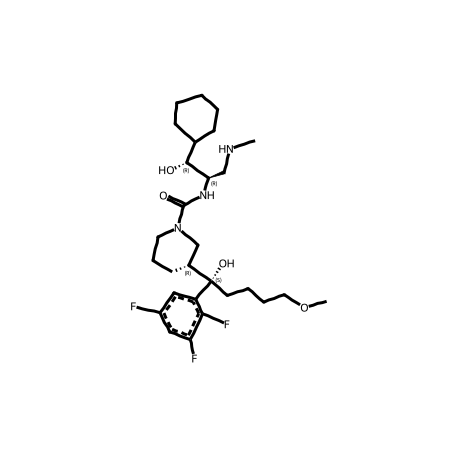 CNC[C@@H](NC(=O)N1CCC[C@@H]([C@@](O)(CCCCOC)c2cc(F)cc(F)c2F)C1)[C@H](O)C1CCCCC1